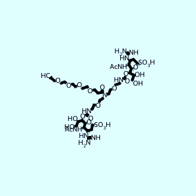 C#CCOCCOCCOCCOCCC(=O)N(CCOCCNC(=O)O[C@@H]([C@@H]1O[C@H](S(=O)(=O)O)C[C@H](NC(=N)N)[C@H]1NC(C)=O)[C@H](O)CO)CCOCCNC(=O)O[C@@H]([C@@H]1O[C@@H](S(=O)(=O)O)C[C@H](NC(=N)N)[C@H]1NC(C)=O)[C@H](O)CO